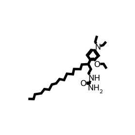 CCCCCCCCCCCCCCCC(CCNC(N)=O)c1ccc(N(CC)CC)cc1OCC